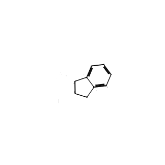 O[C@H]1Cc2ccccc2[C@H]1[AsH2]